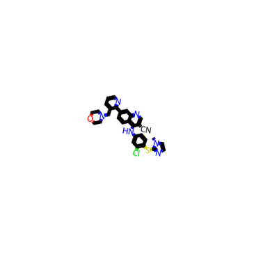 Cn1ccnc1Sc1ccc(Nc2c(C#N)cnc3cc(-c4ncccc4CN4CCOCC4)ccc23)cc1Cl